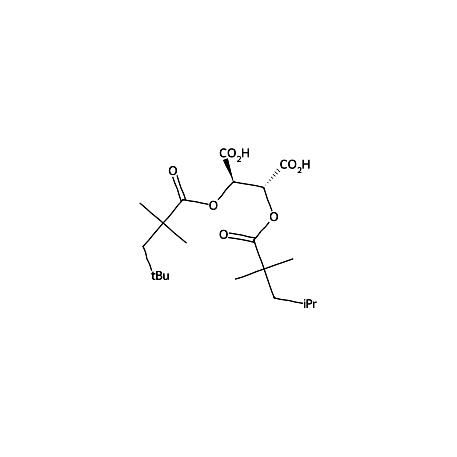 CC(C)CC(C)(C)C(=O)O[C@@H](C(=O)O)[C@@H](OC(=O)C(C)(C)CC(C)(C)C)C(=O)O